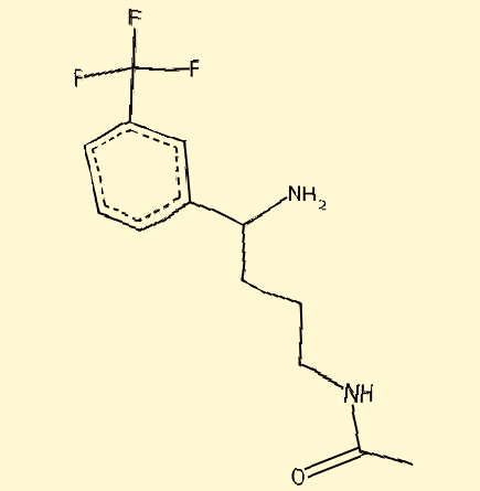 CC(=O)NCCCC(N)c1cccc(C(F)(F)F)c1